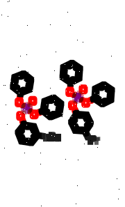 CC(C)c1ccc(OP(=O)(Oc2ccccc2)Oc2ccccc2)cc1.CCCCc1cccc(OP(=O)(Oc2ccccc2)Oc2ccccc2)c1